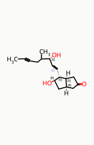 CC#CCC(C)[C@H](O)/C=C/[C@@H]1[C@H]2CC(=O)C[C@H]2C[C@H]1O